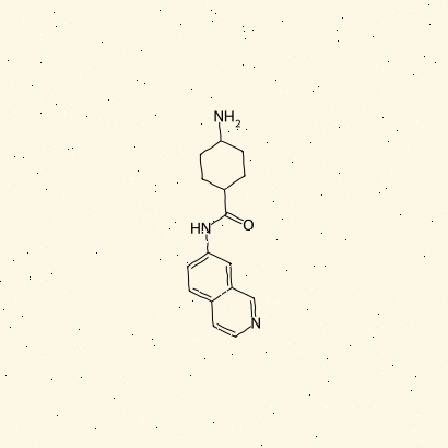 NC1CCC(C(=O)Nc2ccc3ccncc3c2)CC1